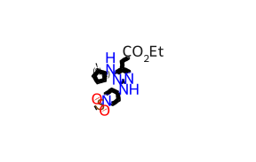 CCOC(=O)CCc1cnc(NC2CCN(S(C)(=O)=O)CC2)nc1N[C@@H]1CCC[C@@H]1C